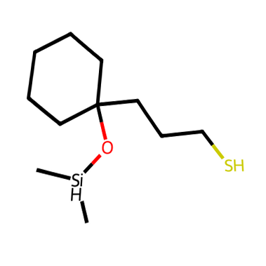 C[SiH](C)OC1(CCCS)CCCCC1